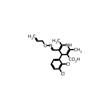 C=CCON=CC1=C(C)NC(C)=C(C(=O)O)C1c1cccc(Cl)c1Cl